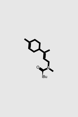 CC[C@H](C)C(=O)N(C)C/C=C(\C)C1CC=C(C)CC1